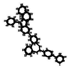 c1ccc(-c2ccc(C3Cc4ccccc4-c4cc(-c5ccc6c(c5)c5ccc7ccccc7c5n6-c5ccccc5)ccc4C3)cc2)cc1